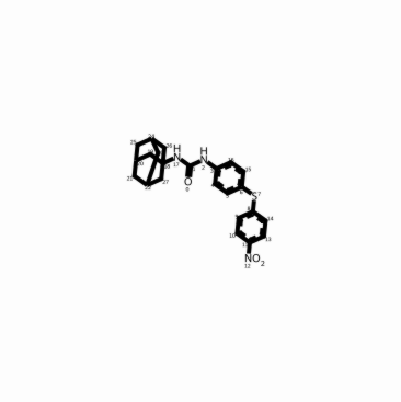 O=C(Nc1ccc(Sc2ccc([N+](=O)[O-])cc2)cc1)NC12CC3CC(CC(C3)C1)C2